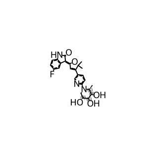 C[C@H]1[C@@H](O)[C@@H](O)[C@H](O)CN1c1ccc(C2=CC(=C3C(=O)Nc4ccc(F)cc43)OC2(C)C)cn1